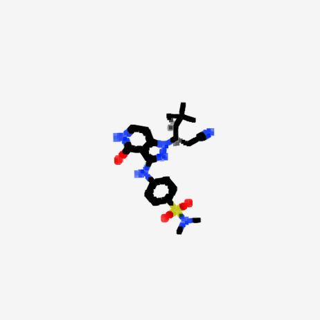 CN(C)S(=O)(=O)c1ccc(Nc2nn([C@@H](CC#N)[C@@H]3CC3(C)C)c3cc[nH]c(=O)c23)cc1